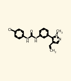 C=Cc1cnn(C)c1-c1cccc(NC(=O)Nc2ccc(Cl)cc2)c1